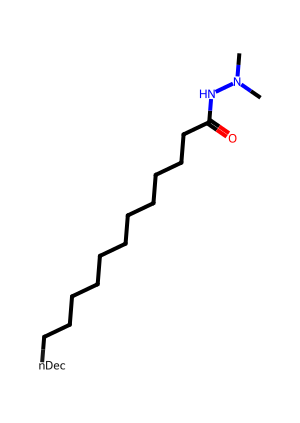 CCCCCCCCCCCCCCCCCCCCCC(=O)NN(C)C